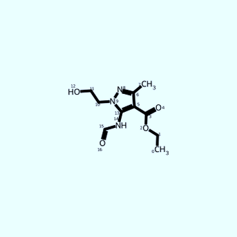 CCOC(=O)c1c(C)nn(CCO)c1NC=O